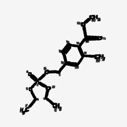 CCOP(=O)(OCC)OCc1ccc(C(=O)OC)c(C)c1